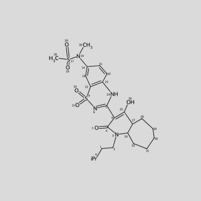 CC(C)CCN1C(=O)C(C2=NS(=O)(=O)c3cc(N(C)S(C)(=O)=O)ccc3N2)=C(O)C2CCCCCC21